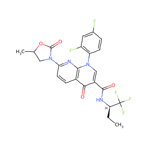 CC[C@@H](NC(=O)c1cn(-c2ccc(F)cc2F)c2nc(N3CC(C)OC3=O)ccc2c1=O)C(F)(F)F